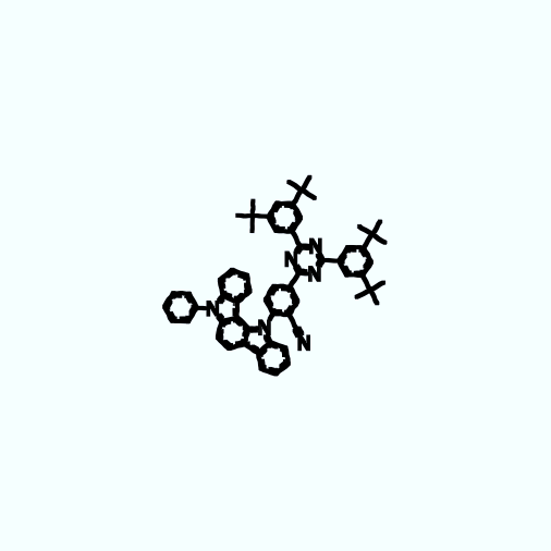 CC(C)(C)c1cc(-c2nc(-c3cc(C(C)(C)C)cc(C(C)(C)C)c3)nc(-c3ccc(-n4c5ccccc5c5ccc6c(c7ccccc7n6-c6ccccc6)c54)c(C#N)c3)n2)cc(C(C)(C)C)c1